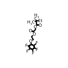 CCC(C)(C)C(=O)OCC(=O)OCCOc1c(F)c(F)c(F)c(F)c1F